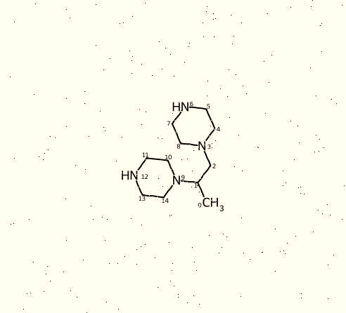 C[C](CN1CCNCC1)N1CCNCC1